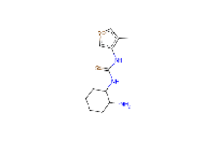 Cc1cscc1NC(=S)NC1CCCCC1N